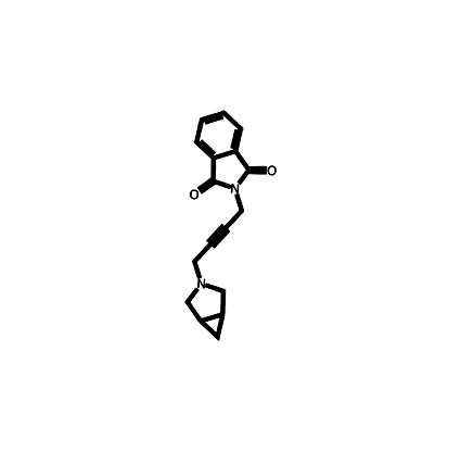 O=C1c2ccccc2C(=O)N1CC#CCN1CC2CC2C1